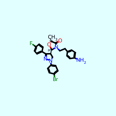 C[C@H]1O[C@H](C2CN(c3ccc(Br)cc3)N=C2c2ccc(F)cc2)N(CCc2ccc(N)cc2)C1=O